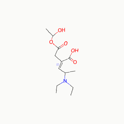 CCN(CC)C(C)/C=C(/CC(=O)OC(C)O)C(=O)O